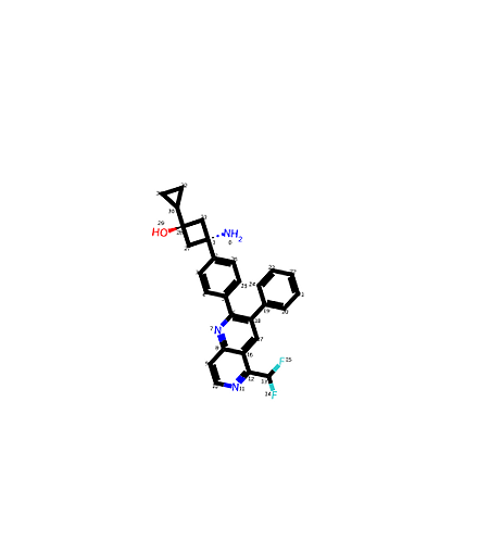 N[C@]1(c2ccc(-c3nc4ccnc(C(F)F)c4cc3-c3ccccc3)cc2)C[C@](O)(C2CC2)C1